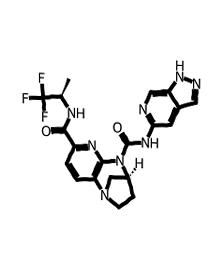 C[C@@H](NC(=O)c1ccc2c(n1)N(C(=O)Nc1cc3cn[nH]c3cn1)[C@H]1CCN2C1)C(F)(F)F